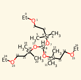 CCOCC[Si](C)(C)O[SiH](O[Si](C)(C)CCOCC)O[Si](C)(C)CCOCC